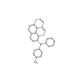 Cc1ccc(N(c2ccccc2)c2ccc3ccc4c5c3c2CC=C5C=CC4)cc1